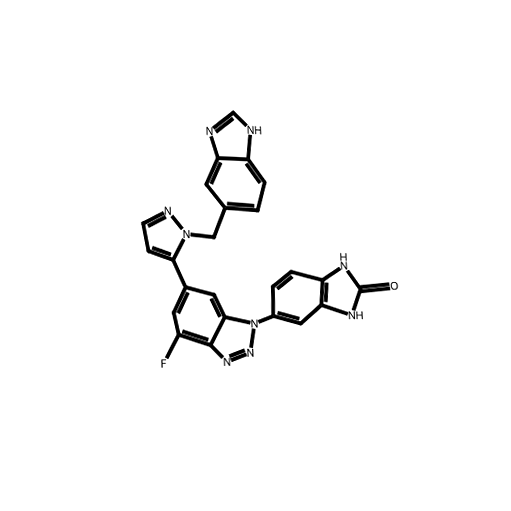 O=c1[nH]c2ccc(-n3nnc4c(F)cc(-c5ccnn5Cc5ccc6[nH]cnc6c5)cc43)cc2[nH]1